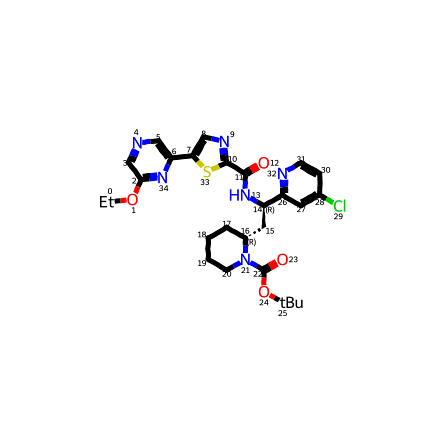 CCOc1cncc(-c2cnc(C(=O)N[C@H](C[C@H]3CCCCN3C(=O)OC(C)(C)C)c3cc(Cl)ccn3)s2)n1